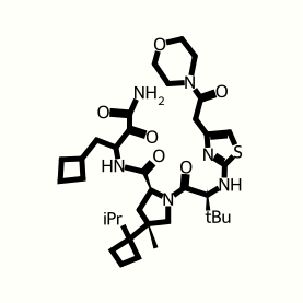 CC(C)C1([C@]2(C)C[C@@H](C(=O)NC(CC3CCC3)C(=O)C(N)=O)N(C(=O)[C@@H](Nc3nc(CC(=O)N4CCOCC4)cs3)C(C)(C)C)C2)CCC1